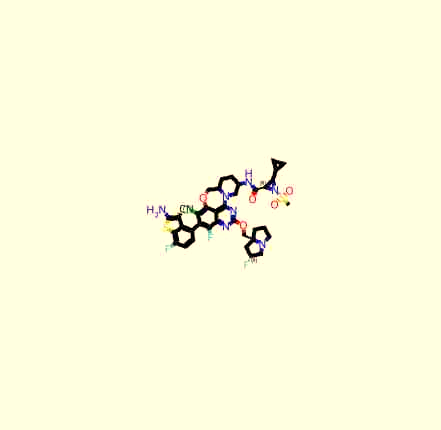 CS(=O)(=O)N1C(C2CC2)[C@@H]1C(=O)NC1CCC2COc3c(Cl)c(-c4ccc(F)c5sc(N)c(C#N)c45)c(F)c4nc(OC[C@@]56CCCN5C[C@H](F)C6)nc(c34)N2C1